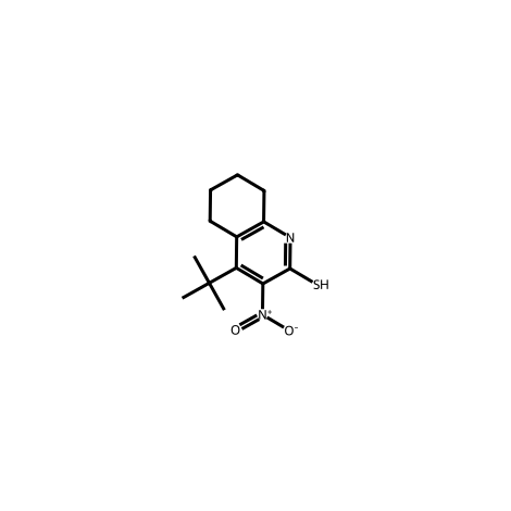 CC(C)(C)c1c2c(nc(S)c1[N+](=O)[O-])CCCC2